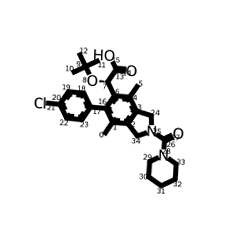 Cc1c2c(c(C)c([C@H](OC(C)(C)C)C(=O)O)c1-c1ccc(Cl)cc1)CN(C(=O)N1CCCCC1)C2